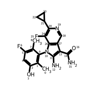 Cc1c(O)cc(F)c(C)c1-n1c(N)c(C(N)=O)c2cnc(C3CC3)c(F)c21